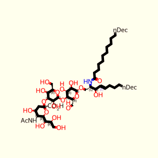 CCCCCCCCCCCCC/C=C/[C@@H](O)[C@H](CO[C@@H]1O[C@H](CO)[C@@H](O[C@@H]2O[C@H](CO)[C@H](O)[C@H](O[C@]3(C(=O)O)C[C@H](O)[C@@H](NC(C)=O)[C@H]([C@H](O)[C@H](O)CO)O3)[C@H]2O)[C@H](O)[C@H]1O)NC(=O)CCCCCCCCCCCCCCCCCCCC